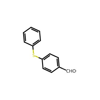 O=[C]c1ccc(Sc2ccccc2)cc1